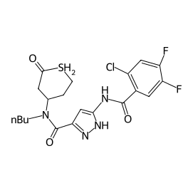 CCCCN(C(=O)c1cc(NC(=O)c2cc(F)c(F)cc2Cl)[nH]n1)C1CC[SH2]C(=O)C1